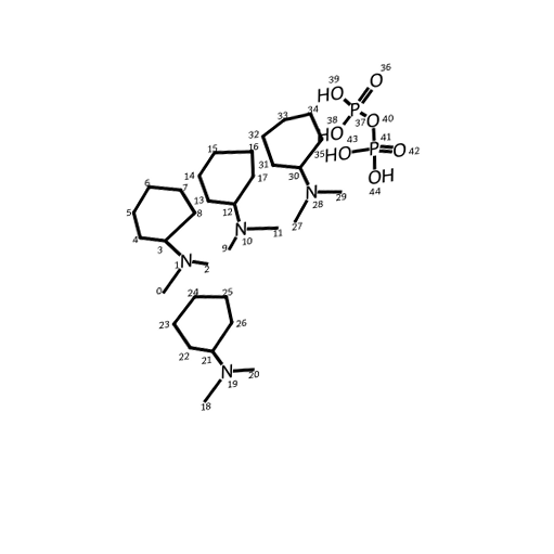 CN(C)C1CCCCC1.CN(C)C1CCCCC1.CN(C)C1CCCCC1.CN(C)C1CCCCC1.O=P(O)(O)OP(=O)(O)O